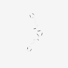 O=C(NCCn1ccnc1)c1cccc(C(=O)NCCn2ccnc2)c1